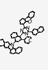 c1ccc(-c2cc(-n3c4cc5ccccc5cc4c4ccc5ccccc5c43)c3ccccc3c2-c2nc(-c3ccc4ccccc4c3)nc(-c3cccc4c3oc3ccccc34)n2)cc1